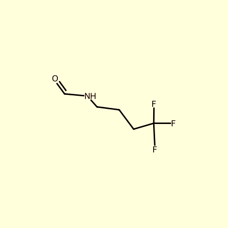 O=CNCCCC(F)(F)F